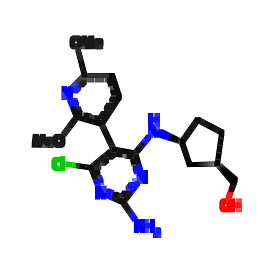 COc1ccc(-c2c(Cl)nc(N)nc2N[C@H]2CC[C@@H](CO)C2)c(OC)n1